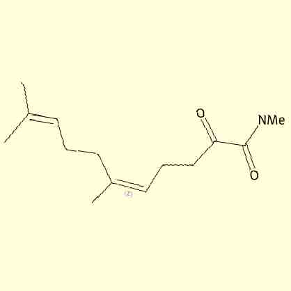 CNC(=O)C(=O)CC/C=C(/C)CCC=C(C)C